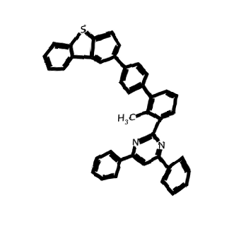 Cc1c(-c2ccc(-c3ccc4sc5ccccc5c4c3)cc2)cccc1-c1nc(-c2ccccc2)cc(-c2ccccc2)n1